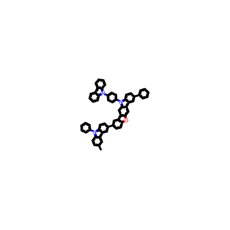 Cc1ccc2c(c1)c1cc(-c3ccc4oc5cc6c7cc(-c8ccccc8)ccc7n(-c7ccc(-n8c9ccccc9c9ccccc98)cc7)c6cc5c4c3)ccc1n2-c1ccccc1